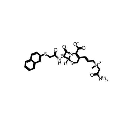 C[N+](C)(CC=CC1=C(C(=O)[O-])N2C(=O)[C@@H](NC(=O)CSc3ccc4ccccc4c3)[C@H]2SC1)CC(N)=O